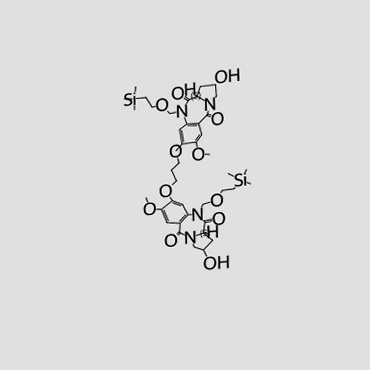 COc1cc2c(cc1OCCCOc1cc3c(cc1OC)C(=O)N1CC(O)C[C@H]1C(=O)N3COCC[Si](C)(C)C)N(COCC[Si](C)(C)C)C(=O)[C@@H]1CC(O)CN1C2=O